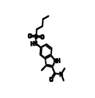 CCCCS(=O)(=O)Nc1ccc2[nH]c(C(=O)N(C)C)c(C)c2c1